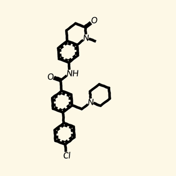 CN1C(=O)CCc2ccc(NC(=O)c3ccc(-c4ccc(Cl)cc4)c(CN4CCCCC4)c3)cc21